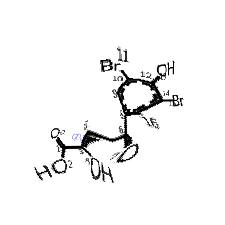 O=C(O)/C(O)=C/C(=O)c1cc(Br)c(O)c(Br)c1